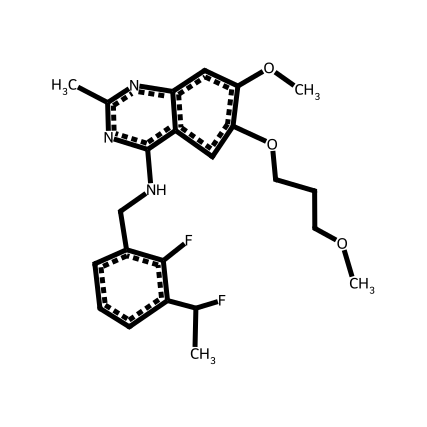 COCCCOc1cc2c(NCc3cccc(C(C)F)c3F)nc(C)nc2cc1OC